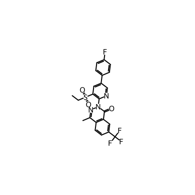 CCS(=O)(=O)c1cc(-c2ccc(F)cc2)cnc1-n1nc(C)c2ccc(C(F)(F)F)cc2c1=O